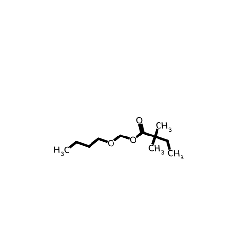 CCCCOCOC(=O)C(C)(C)CC